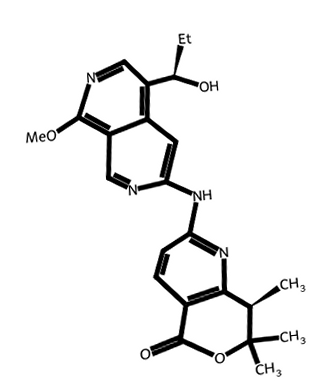 CC[C@@H](O)c1cnc(OC)c2cnc(Nc3ccc4c(n3)[C@@H](C)C(C)(C)OC4=O)cc12